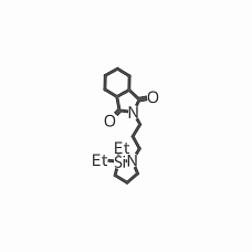 CC[Si]1(CC)CCCN1CCCN1C(=O)C2CCCCC2C1=O